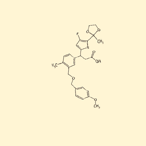 COc1ccc(COCc2cc(C(CC(=O)O)c3cc(F)c(C4(C)OCCO4)s3)ccc2C)cc1